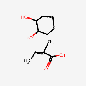 CC=C(C)C(=O)O.OC1CCCCC1O